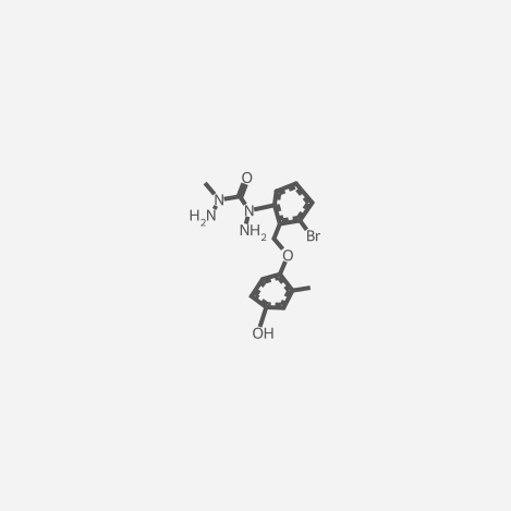 Cc1cc(O)ccc1OCc1c(Br)cccc1N(N)C(=O)N(C)N